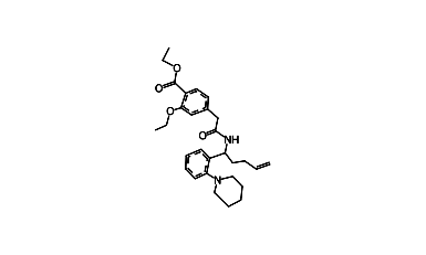 C=CCCC(NC(=O)Cc1ccc(C(=O)OCC)c(OCC)c1)c1ccccc1N1CCCCC1